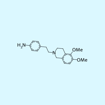 COc1ccc2c(c1OC)CCN(CCc1ccc(N)cc1)C2